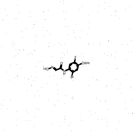 COc1cc(Br)c(NC(=O)C=NO)cc1F